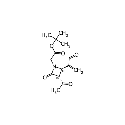 C=C(C=O)[C@H]1[C@H](C(C)=O)C(=O)N1CC(=O)OC(C)(C)C